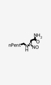 CCCCCCNN(CC(N)=O)N=O